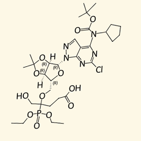 CCOP(=O)(OCC)C(CO)(CCC(=O)O)OC[C@H]1O[C@@H](n2ncc3c(N(C(=O)OC(C)(C)C)C4CCCC4)nc(Cl)nc32)[C@@H]2OC(C)(C)O[C@@H]21